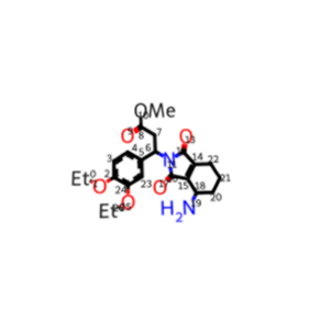 CCOc1ccc(C(CC(=O)OC)N2C(=O)C3=C(C2=O)C(N)CCC3)cc1OCC